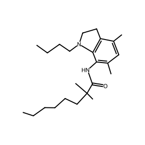 CCCCCCC(C)(C)C(=O)Nc1c(C)cc(C)c2c1N(CCCC)CC2